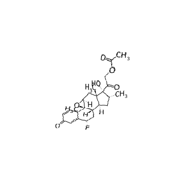 CC(=O)OCC(=O)[C@@]1(O)[C@H](C)C[C@H]2[C@@H]3C[C@H](F)C4=CC(=O)C=C[C@]4(C)[C@@]34O[C@H]4C[C@@]21C